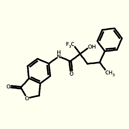 CC(CC(O)(C(=O)Nc1ccc2c(c1)COC2=O)C(F)(F)F)c1ccccc1